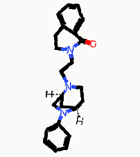 O=C1c2ccccc2CCN1CCN1CC[C@@H]2C[C@H]1CN2c1ccccc1